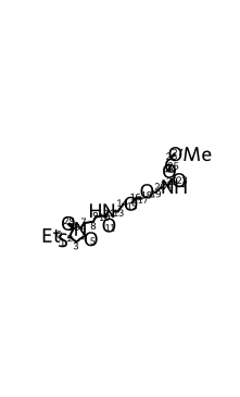 CCSC1CC(=O)N(CCCC(=O)NCCOCCOCCNC(=O)OCCOC)C1=O